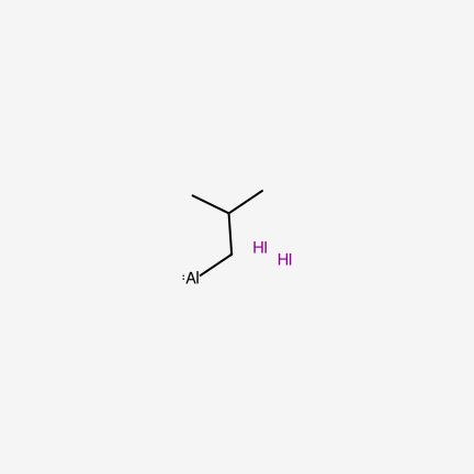 CC(C)[CH2][Al].I.I